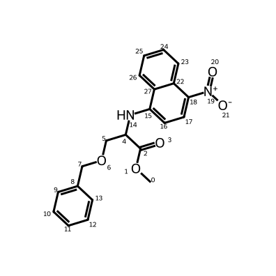 COC(=O)C(COCc1ccccc1)Nc1ccc([N+](=O)[O-])c2ccccc12